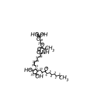 CCCCCCCC(=O)CC[C@@H]1[C@@H](C/C=C\CCCC(=O)NC(C)C(=O)OCCON(O)O)[C@@H](O)C[C@H]1O